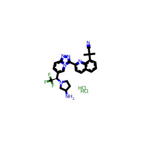 CC(C)(C#N)c1cccc2ccc(-c3nnc4ccc([C@@H](N5CCC(N)C5)C(F)(F)F)cn34)nc12.Cl.Cl